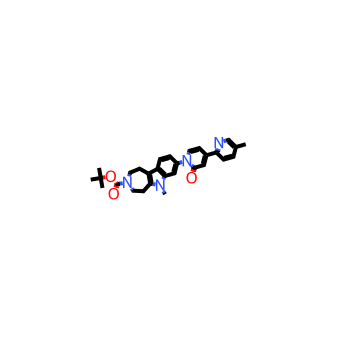 Cc1ccc(-c2ccn(-c3ccc4c5c(n(C)c4c3)CCN(C(=O)OC(C)(C)C)CC5)c(=O)c2)nc1